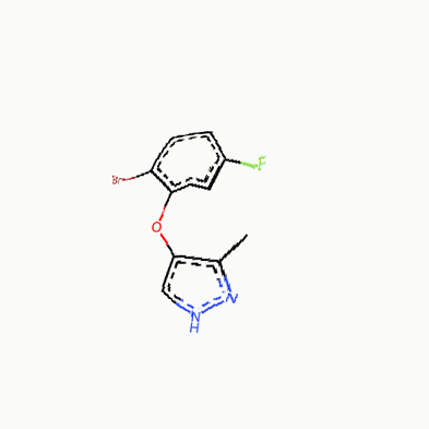 Cc1n[nH]cc1Oc1cc(F)ccc1Br